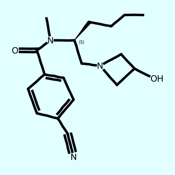 CCCC[C@@H](CN1CC(O)C1)N(C)C(=O)c1ccc(C#N)cc1